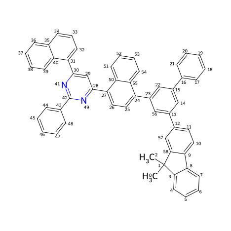 CC1(C)c2ccccc2-c2ccc(-c3cc(-c4ccccc4)cc(-c4ccc(-c5cc(-c6cccc7ccccc67)nc(-c6ccccc6)n5)c5ccccc45)c3)cc21